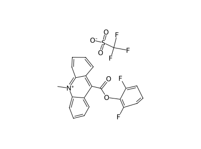 C[n+]1c2ccccc2c(C(=O)Oc2c(F)cccc2F)c2ccccc21.O=S(=O)([O-])C(F)(F)F